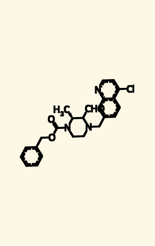 C[C@H]1C(C=O)N(Cc2ccc3c(Cl)ccnc3c2)CCN1C(=O)OCc1ccccc1